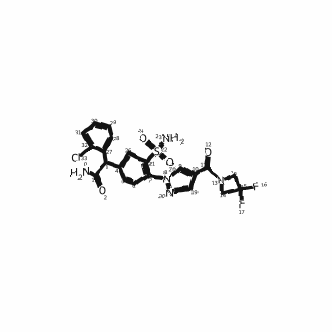 NC(=O)C(c1ccc(-n2cc(C(=O)N3CC(F)(F)C3)cn2)c(S(N)(=O)=O)c1)c1ccccc1Cl